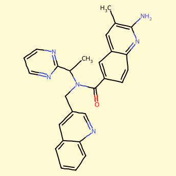 Cc1cc2cc(C(=O)N(Cc3cnc4ccccc4c3)C(C)c3ncccn3)ccc2nc1N